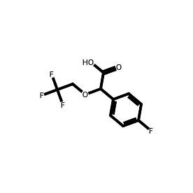 O=C(O)C(OCC(F)(F)F)c1ccc(F)cc1